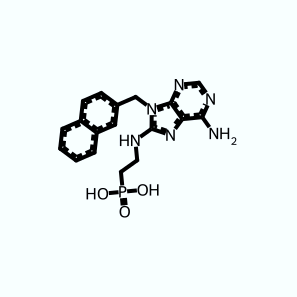 Nc1ncnc2c1nc(NCCP(=O)(O)O)n2Cc1ccc2ccccc2c1